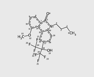 CCCCn1c(=O)c2cccc(OC)c2c2cc(C(O)(C(F)(F)F)C(F)(F)F)ccc21